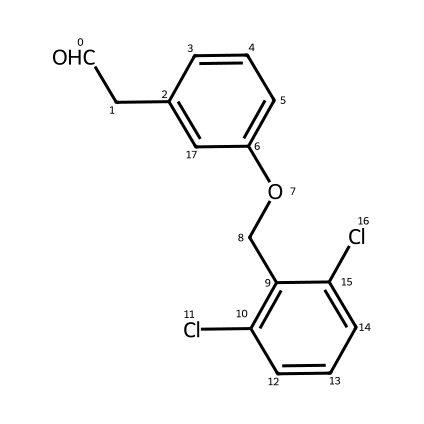 O=CCc1cccc(OCc2c(Cl)cccc2Cl)c1